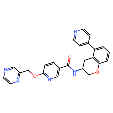 O=C(N[C@@H]1COc2cccc(-c3ccncc3)c2C1)c1ccc(OCc2cnccn2)nc1